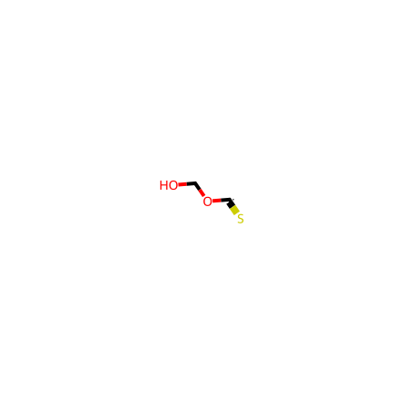 OCO[C]=S